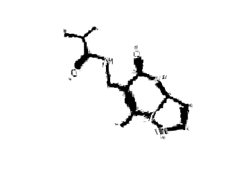 Cc1c(CNC(=O)C(C)C)c(=O)nc2cc[nH]n12